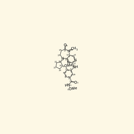 CONC(=O)c1ccc(OC)c(Nc2ncc3c(n2)N(C2CCCC2)CCC(=O)N3C)c1